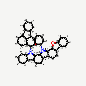 c1ccc(-n2c3c(ccc4c5ccccc5oc43)c3ccc4c5ccccc5n(-c5ccc6c7c(cccc57)-c5ccccc5-6)c4c32)cc1